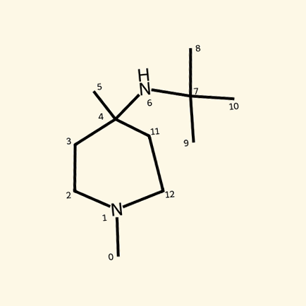 CN1CCC(C)(NC(C)(C)C)CC1